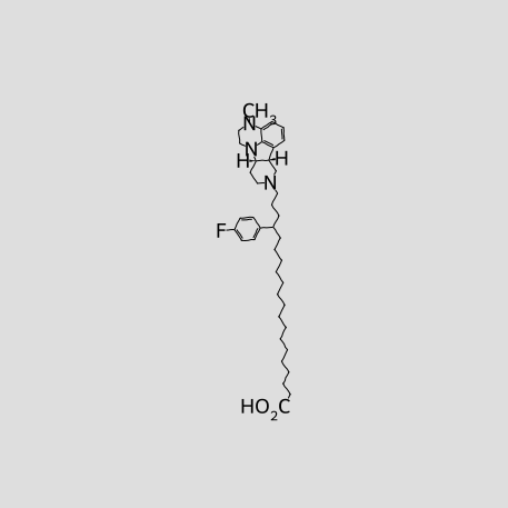 CN1CCN2c3c(cccc31)[C@@H]1CN(CCCC(CCCCCCCCCCCCCCCC(=O)O)c3ccc(F)cc3)CC[C@@H]12